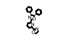 c1ccc([C@H]2OC(c3cccc(C4=NCCO4)n3)=N[C@H]2c2ccccc2)cc1